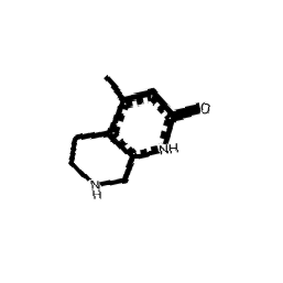 Cc1cc(=O)[nH]c2c1CCNC2